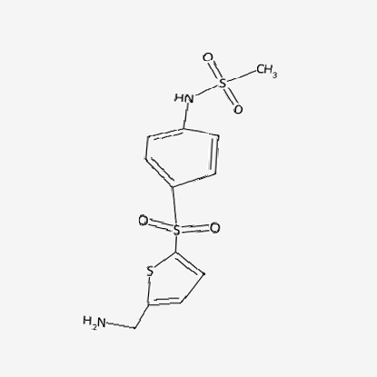 CS(=O)(=O)Nc1ccc(S(=O)(=O)c2ccc(CN)s2)cc1